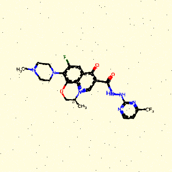 C[C@H]1COc2c(N3CCN(C)CC3)c(F)cc3c(=O)c(C(=O)NNc4nccc(C(F)(F)F)n4)cn1c23